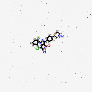 O=c1[nH]cc(Cl)c2c1c(-c1ccc(C3CNCCS3)cc1)nn2-c1c(F)cccc1F